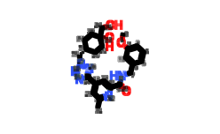 COc1cccc(CNC(=O)c2cc(-c3nnn(C[C@H]4CC[C@@](O)(CO)CC4)n3)cc(C)n2)c1